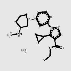 CCOC(=O)c1cnn(-c2cccc([C@H]3CCC[C@H](NN)C3)c2)c1C1CC1.Cl